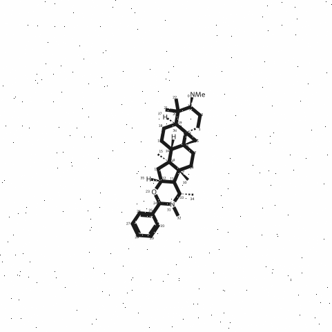 CN[C@H]1CC[C@]23C[C@]24CC[C@]2(C)C5[C@@H](C[C@@]2(C)[C@@H]4CC[C@H]3C1(C)C)OC(c1ccccc1)N(C)[C@H]5C